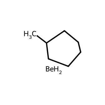 CC1CCCCC1.[BeH2]